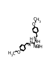 CCOc1ccc(C=NNC(=N)NN=Cc2ccc(OCC)cc2)cc1.Cl